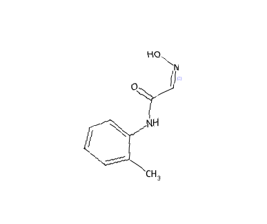 Cc1ccccc1NC(=O)/C=N\O